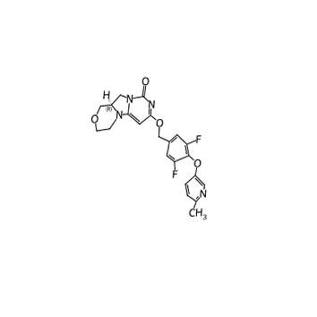 Cc1ccc(Oc2c(F)cc(COc3cc4n(c(=O)n3)C[C@@H]3COCCN43)cc2F)cn1